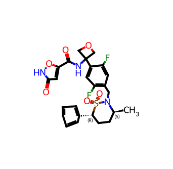 C[C@H]1CC[C@H](c2ccccc2)S(=O)(=O)N1Cc1cc(F)c(C2(NC(=O)c3cc(=O)[nH]o3)COC2)cc1F